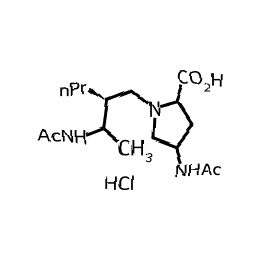 CCC[C@@H](CN1CC(NC(C)=O)CC1C(=O)O)C(C)NC(C)=O.Cl